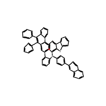 c1ccc(-c2c(-c3ccccc3)c3cc(-c4ccccc4N(c4ccc(-c5ccc6ccccc6c5)cc4)c4cccc5c4sc4ccccc45)ccc3c3ccccc23)cc1